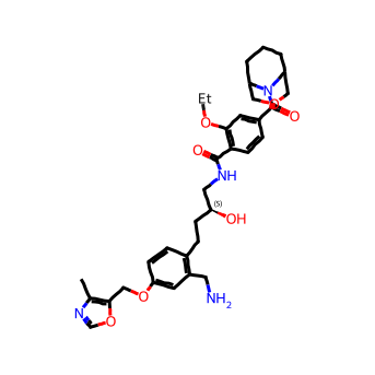 CCOc1cc(C(=O)N2C3CCCC2COC3)ccc1C(=O)NC[C@@H](O)CCc1ccc(OCc2ocnc2C)cc1CN